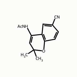 CC(=O)NC1=CC(C)(C)Oc2ccc(C#N)cc21